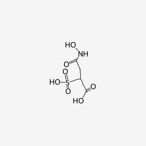 O=C(CC(C(=O)O)S(=O)(=O)O)NO